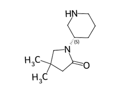 CC1(C)CC(=O)N([C@H]2CCCNC2)C1